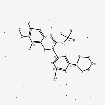 COc1c(C)cnc(CN(C(=O)OC(C)(C)C)c2cc(Cl)cc(N3CCOCC3)c2)c1C